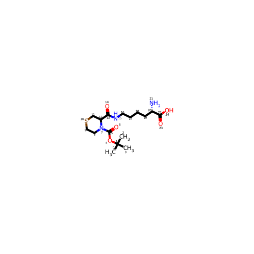 CC(C)(C)OC(=O)N1CCSCC1C(=O)NCCCC[C@H](N)C(=O)O